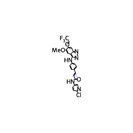 COc1cc2c(Nc3ccc(/C=C/C(=O)Nc4ccc(Cl)nc4)cc3)ncnc2cc1OCC(F)(F)F